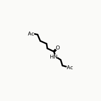 CC(=O)CCCCC(=O)NCCC(C)=O